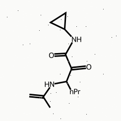 C=C(C)NC(CCC)C(=O)C(=O)NC1CC1